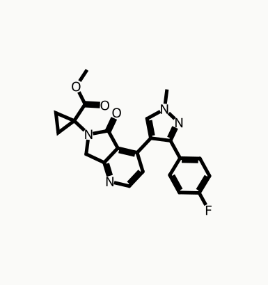 COC(=O)C1(N2Cc3nccc(-c4cn(C)nc4-c4ccc(F)cc4)c3C2=O)CC1